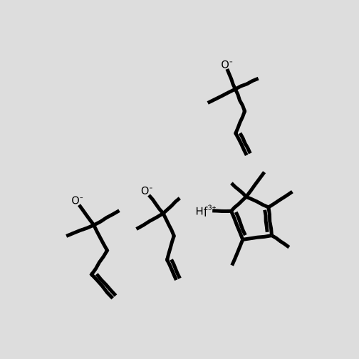 C=CCC(C)(C)[O-].C=CCC(C)(C)[O-].C=CCC(C)(C)[O-].CC1=C(C)C(C)(C)[C]([Hf+3])=C1C